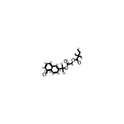 CCC(C)(C)C(=O)OCC(=O)OC(C)(C)c1ccc2c(Cl)cccc2c1